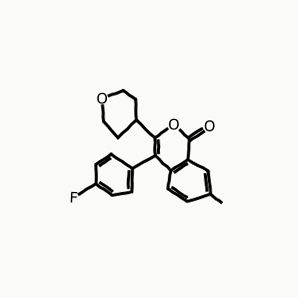 Cc1ccc2c(-c3ccc(F)cc3)c(C3CCOCC3)oc(=O)c2c1